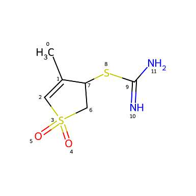 CC1=CS(=O)(=O)CC1SC(=N)N